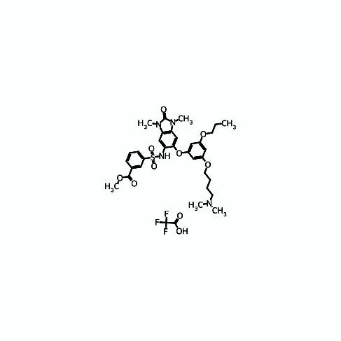 CCCOc1cc(OCCCCN(C)C)cc(Oc2cc3c(cc2NS(=O)(=O)c2cccc(C(=O)OC)c2)n(C)c(=O)n3C)c1.O=C(O)C(F)(F)F